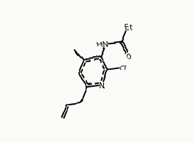 C=CCc1cc(C)c(NC(=O)CC)c(Cl)n1